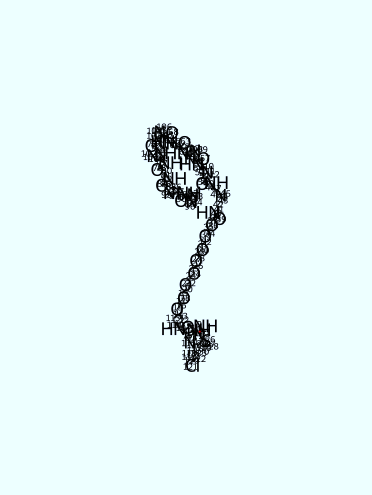 CC(=N)N1C(=N)[C@H](CC(=O)Nc2ccc(OCCOCCOCCOCCOCCOCCOCCOCC(=O)NCCCN(C)CCCNC(=O)c3cc(NC(=O)c4nc(NC(=O)CCNC(=O)c5c(NC(=O)c6nc(NC(=O)CCNC(=O)c7cc(NC(=O)c8nccn8C)cn7C)cn6C)ccn5C)cn4C)cn3C)cc2)N=C(c2ccc(Cl)cc2)c2c1sc(C)c2C